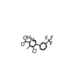 Cc1c(C(=O)O)ncc(-c2cccc(C(F)(F)F)c2)c1Cl